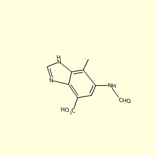 Cc1c(NC=O)cc(C(=O)O)c2nc[nH]c12